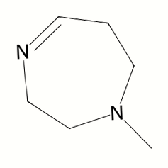 CN1CCC=NCC1